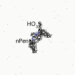 CCCCC[N+]1=C(/C=C/C2=C(Sc3ccccc3I)C(=C/C=C3/N(CCCCS(=O)(=O)O)c4ccc5cc(Br)ccc5c4C3(C)C)/CCC2)C(C)(C)c2c1ccc1cc(Br)ccc21